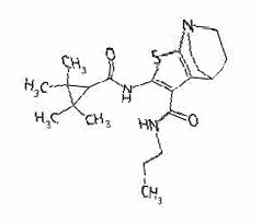 CCCNC(=O)c1c(NC(=O)C2C(C)(C)C2(C)C)sc2c1C1CCN2CC1